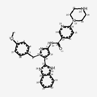 COc1ccc(Cn2nc(NC(=O)c3ccc(N4CCNCC4)nc3)cc2-c2nc3ccccc3[nH]2)cc1